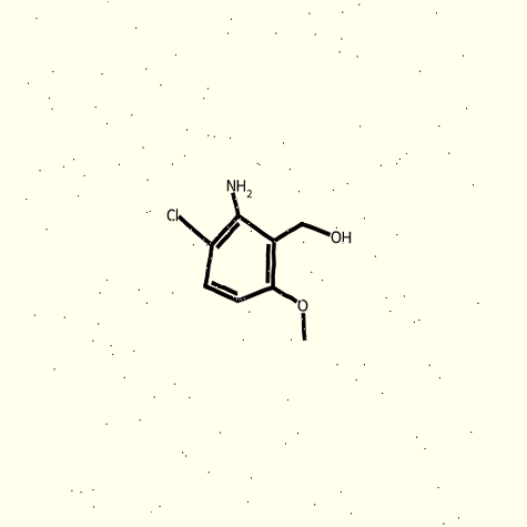 COc1ccc(Cl)c(N)c1CO